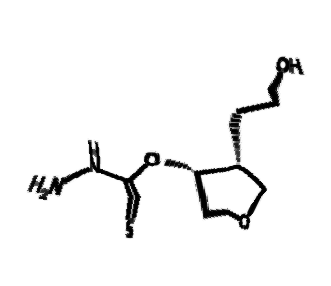 NNC(=S)O[C@H]1COC[C@H]1CCO